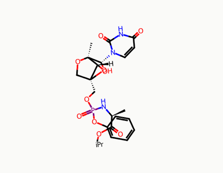 CC(C)OC(=O)[C@H](C)NP(=O)(OC[C@]12CO[C@](C)([C@@H]1O)[C@H](n1ccc(=O)[nH]c1=O)O2)Oc1ccccc1